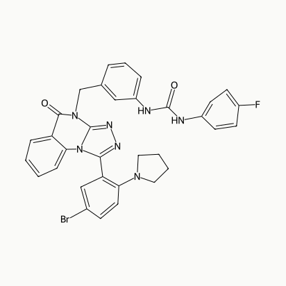 O=C(Nc1ccc(F)cc1)Nc1cccc(Cn2c(=O)c3ccccc3n3c(-c4cc(Br)ccc4N4CCCC4)nnc23)c1